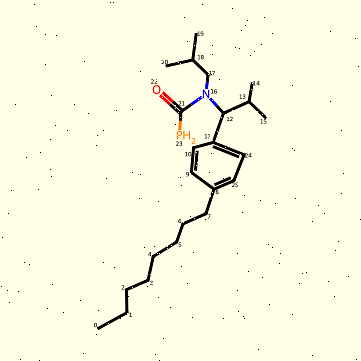 CCCCCCCCc1ccc(C(C(C)C)N(CC(C)C)C(=O)P)cc1